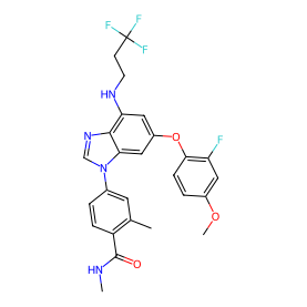 CNC(=O)c1ccc(-n2cnc3c(NCCC(F)(F)F)cc(Oc4ccc(OC)cc4F)cc32)cc1C